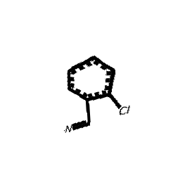 [N]=Cc1ccccc1Cl